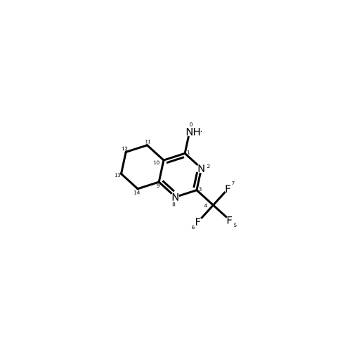 [NH]c1nc(C(F)(F)F)nc2c1CCCC2